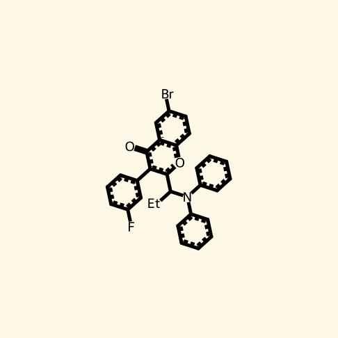 CCC(c1oc2ccc(Br)cc2c(=O)c1-c1cccc(F)c1)N(c1ccccc1)c1ccccc1